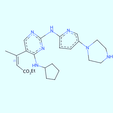 CCOC(=O)/C=C(/C)c1cnc(Nc2ccc(N3CCNCC3)cn2)nc1NC1CCCC1